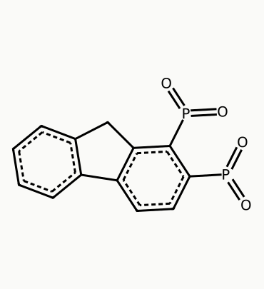 O=P(=O)c1ccc2c(c1P(=O)=O)Cc1ccccc1-2